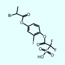 CC(Br)C(=O)Oc1ccc(OC(=O)C(F)(F)S(=O)(=O)O)c(I)c1